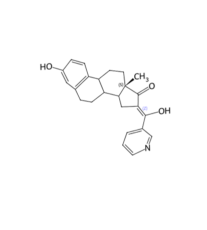 C[C@]12CCC3c4ccc(O)cc4CCC3C1C/C(=C(/O)c1cccnc1)C2=O